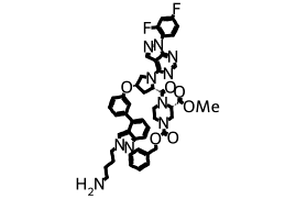 COC(=O)[C@@H]1CN(C(=O)OCc2ccccc2)CCN1C(=O)[C@@H]1C[C@H](Oc2cccc(-c3cccc4nn(CCCCN)cc34)c2)CN1c1ncnc2c1cnn2-c1ccc(F)cc1F